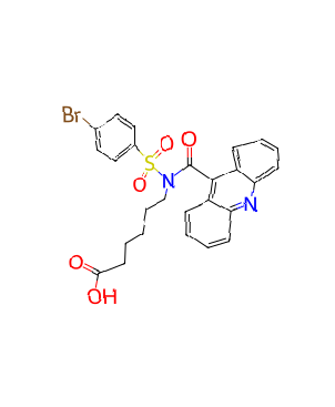 O=C(O)CCCCCN(C(=O)c1c2ccccc2nc2ccccc12)S(=O)(=O)c1ccc(Br)cc1